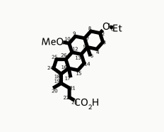 CCOC1CCC2(C)C(C1)CC(OC)C1C2CCC2(C)C(C(C)CCC(=O)O)CCC12